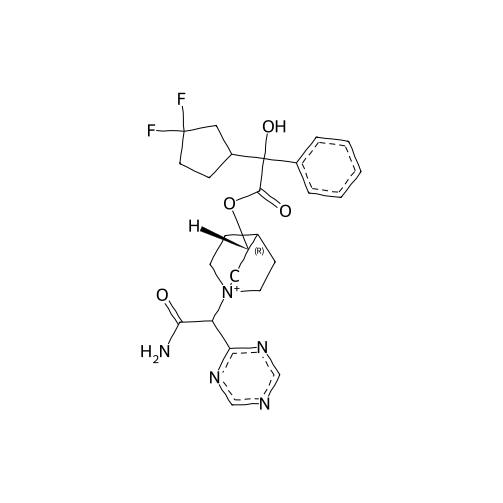 NC(=O)C(c1ncncn1)[N+]12CCC(CC1)[C@@H](OC(=O)C(O)(c1ccccc1)C1CCC(F)(F)C1)C2